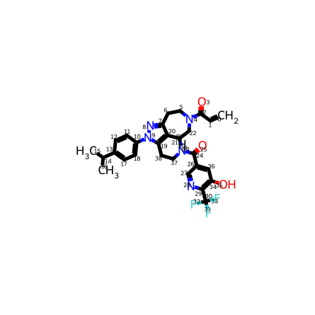 C=CC(=O)N1CCc2nn(-c3ccc(C(C)C)cc3)c3c2[C@H](C1)N(C(=O)c1cnc(C(F)(F)F)c(O)c1)CC3